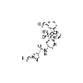 COc1ncc(NC(=O)c2cnn(C)c2)cc1S(=O)(=O)Nc1c(C)cccc1C